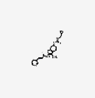 Nc1c(NC(=O)/C=C/c2cccnc2)sc2c1CCC(OC(=O)NCC1CC1)C2